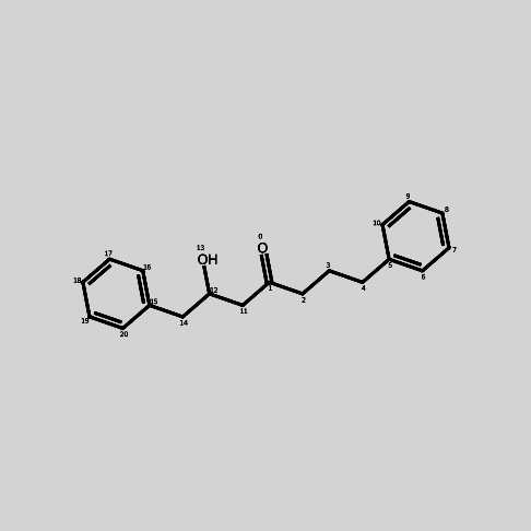 O=C(CCCc1ccccc1)CC(O)Cc1ccccc1